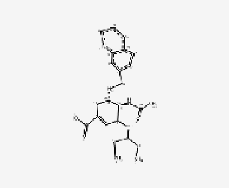 CCC(CC)OC1C=C(C(=O)O)C[C@H](NCc2ccc3cccnc3c2)[C@H]1NC(C)=O